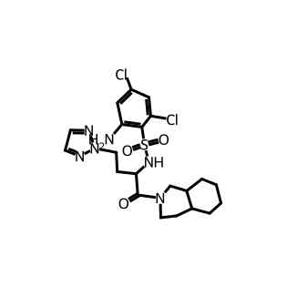 Nc1cc(Cl)cc(Cl)c1S(=O)(=O)NC(CCn1nccn1)C(=O)N1CCC2CCCCC2C1